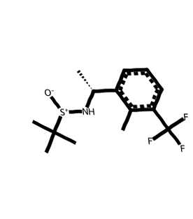 Cc1c([C@@H](C)N[S+]([O-])C(C)(C)C)cccc1C(F)(F)F